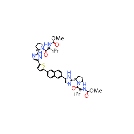 COC(=O)N[C@@H](C(=O)N1CCC[C@@H]1c1ncc(-c2ccc3cc(-c4ccc(-c5cnc([C@H]6CCCN6C(=O)[C@H](NC(=O)OC)C(C)C)[nH]5)s4)ccc3c2)[nH]1)C(C)C